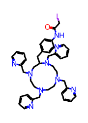 O=C(CI)Nc1ccc(CC2CN(Cc3ccccn3)CCN(Cc3ccccn3)CCN(Cc3ccccn3)CCN2Cc2ccccn2)cc1